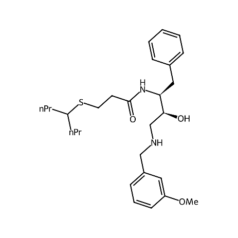 CCCC(CCC)SCCC(=O)N[C@@H](Cc1ccccc1)[C@@H](O)CNCc1cccc(OC)c1